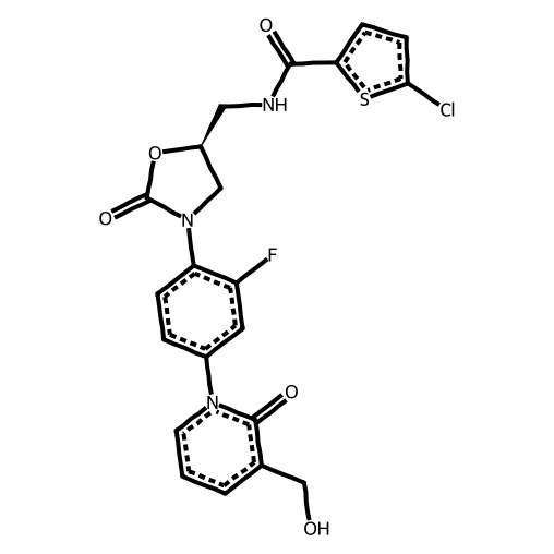 O=C(NC[C@H]1CN(c2ccc(-n3cccc(CO)c3=O)cc2F)C(=O)O1)c1ccc(Cl)s1